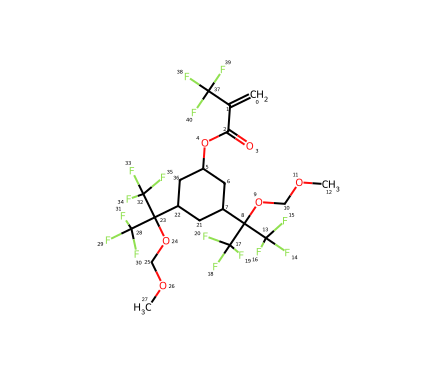 C=C(C(=O)OC1CC(C(OCOC)(C(F)(F)F)C(F)(F)F)CC(C(OCOC)(C(F)(F)F)C(F)(F)F)C1)C(F)(F)F